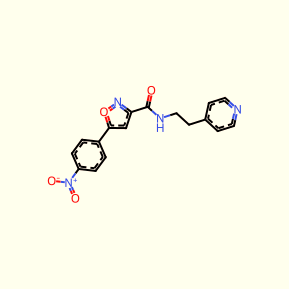 O=C(NCCc1ccncc1)c1cc(-c2ccc([N+](=O)[O-])cc2)on1